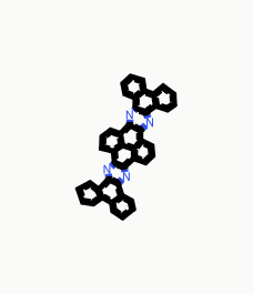 c1ccc2c(c1)c1ccccc1c1nc3c4cccc5c6nc7c8ccccc8c8ccccc8c7nc6c6cccc(c3nc21)c6c45